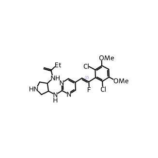 C=C(CC)NC1CNCC1Nc1ncc(/C=C(\F)c2c(Cl)c(OC)cc(OC)c2Cl)cn1